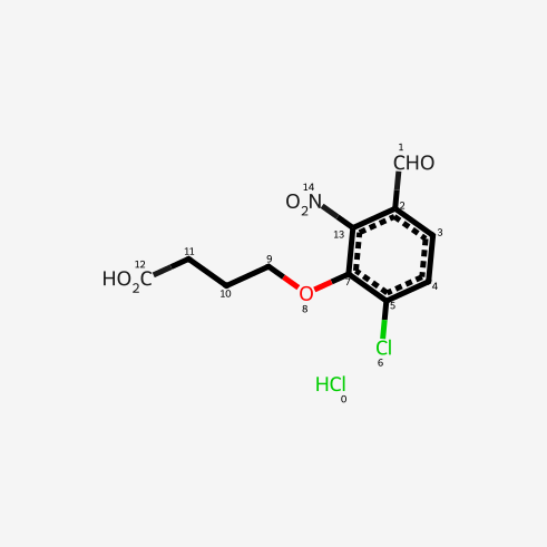 Cl.O=Cc1ccc(Cl)c(OCCCC(=O)O)c1[N+](=O)[O-]